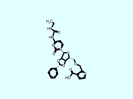 CCNC(=O)Nc1ccn([C@@H]2O[C@H](COCc3sccc3C(=O)O)C3O[C@H](c4ccccc4)OC32)c(=O)n1